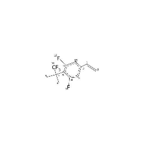 C=Cc1cc(F)c(C(C)(C)C(F)(F)F)c(F)c1